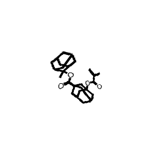 C=C(C)C(=O)OC12CC3CC(C1)CC(C(=O)OC1(C)C4CC5CC(C4)CC1C5)(C3)C2